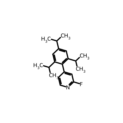 CC(C)c1cc(C(C)C)c(-c2ccnc(F)c2)c(C(C)C)c1